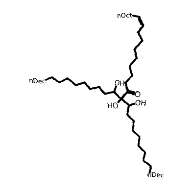 CCCCCCCC/C=C\CCCCCCCC(=O)C(O)(C(O)CCCCCCCCCCCCCCCCCC)C(O)CCCCCCCCCCCCCCCCCC